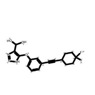 OC(O)c1nn[nH]c1Oc1cccc(C#CC2CCC(F)(F)CC2)c1